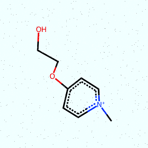 C[n+]1ccc(OCCO)cc1